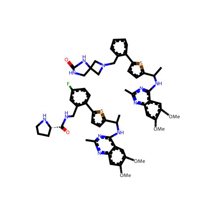 COc1cc2nc(C)nc(NC(C)c3ccc(-c4ccc(F)cc4CNC(=O)[C@@H]4CCCN4)s3)c2cc1OC.COc1cc2nc(C)nc(NC(C)c3ccc(-c4ccccc4CN4CC5(CNC(=O)N5)C4)s3)c2cc1OC